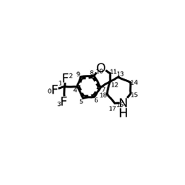 FC(F)(F)c1ccc2c(c1)OCC21CCCNCC1